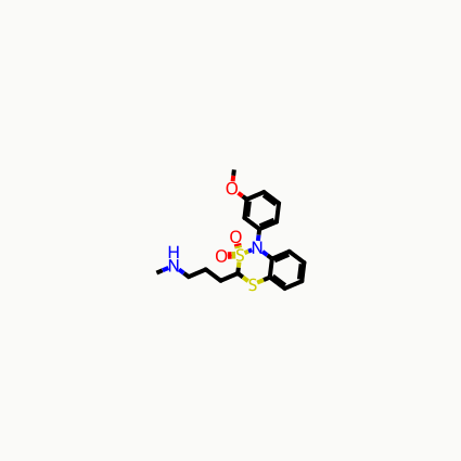 CNCCCC1Sc2ccccc2N(c2cccc(OC)c2)S1(=O)=O